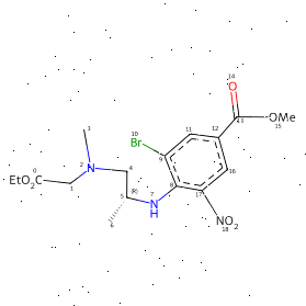 CCOC(=O)CN(C)C[C@@H](C)Nc1c(Br)cc(C(=O)OC)cc1[N+](=O)[O-]